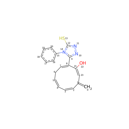 C=C1/C=C\C=C/C/C=C(c2nnc(S)n2-c2ccccc2)\C(O)=C/1